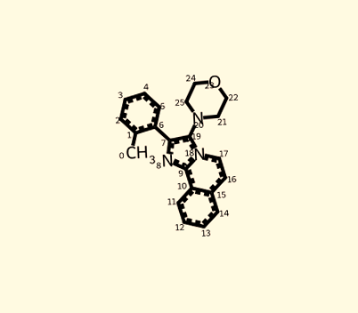 Cc1ccccc1-c1nc2c3ccccc3ccn2c1N1CCOCC1